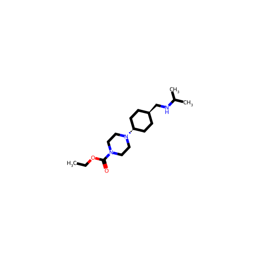 CCOC(=O)N1CCN([C@H]2CC[C@H](CNC(C)C)CC2)CC1